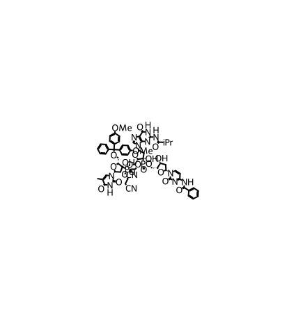 COc1ccc(C(OC[C@H]2O[C@@H](n3cc(C)c(=O)[nH]c3=O)C[C@@]2(O)P(=O)(OCCC#N)OC[C@H]2O[C@@H](n3cnc4c(=O)[nH]c(NC(=O)C(C)C)nc43)C[C@@]2(O)P(=O)(OCCC#N)OC[C@H]2O[C@@H](n3ccc(NC(=O)c4ccccc4)nc3=O)C[C@@H]2O)(c2ccccc2)c2ccc(OC)cc2)cc1